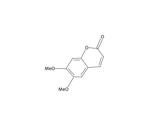 COc1cc2ccc(=O)oc2cc1OC